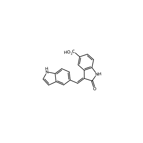 O=C1Nc2ccc(C(=O)O)cc2C1=Cc1ccc2[nH]ccc2c1